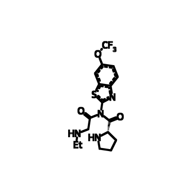 CCNCC(=O)N(C(=O)[C@@H]1CCCN1)c1nc2ccc(OC(F)(F)F)cc2s1